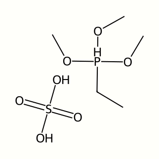 CC[PH](OC)(OC)OC.O=S(=O)(O)O